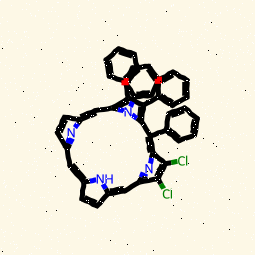 ClC1=C(Cl)c2nc1cc1ccc(cc3nc(cc4c(-c5ccccc5)c(-c5ccccc5)c(c2-c2ccccc2)n4-c2ccccc2)C=C3)[nH]1